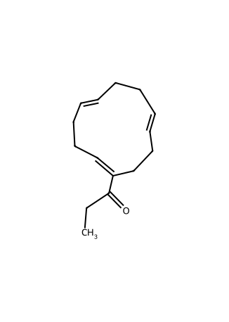 CCC(=O)/C1=C\CC/C=C/CC/C=C/CC1